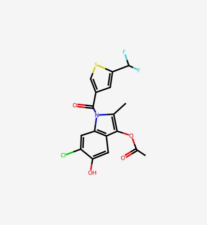 CC(=O)Oc1c(C)n(C(=O)c2csc(C(F)F)c2)c2cc(Cl)c(O)cc12